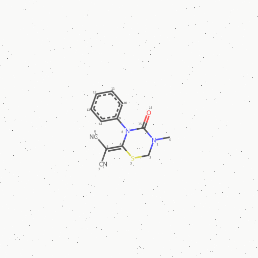 CN1CSC(=C(C#N)C#N)N(c2ccccc2)C1=O